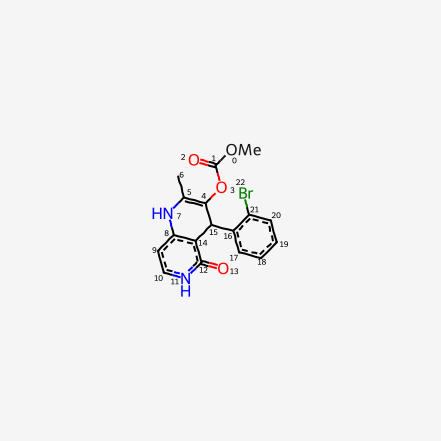 COC(=O)OC1=C(C)Nc2cc[nH]c(=O)c2C1c1ccccc1Br